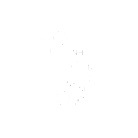 O=C(NCc1cccc(Cl)c1F)[C@@H]1CCCN1C(=O)CC1=Nc2ccccc2S(=O)(=O)N1